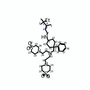 CCC(C)(C)/C(C)=C/CNC1CCC(CN(CCN2CCS(=O)(=O)CC2)CCN2CCS(=O)(=O)CC2)(c2ccccc2)CC1